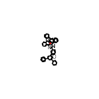 c1ccc(-c2cc(-c3ccccc3)c3oc4ccc(-c5nc(-c6ccccc6)nc(-c6ccccc6-n6c7ccccc7c7ccccc76)n5)cc4c3c2)cc1